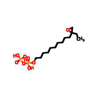 CCC1(CCCCCCCCCCOP(=O)(O)OP(=O)(O)O)CO1